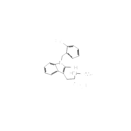 CON[C@@H](Cc1c(C)n(Cc2ccccc2C(F)(F)F)c2ccccc12)C(=O)O